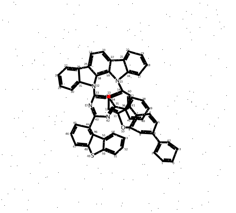 c1ccc(-c2ccc3c(c2)oc2ccc(-n4c5ccccc5c5ccc6c7ccccc7n(-c7nc(-c8ccccc8)nc(-c8cccc9sc%10ccccc%10c89)n7)c6c54)cc23)cc1